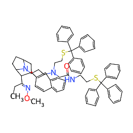 CCC(=NOC)C1C(c2ccc3ccccc3c2)CC2CCC1N2CCCN(CCSC(c1ccccc1)(c1ccccc1)c1ccccc1)CC(=O)NCCSC(c1ccccc1)(c1ccccc1)c1ccccc1